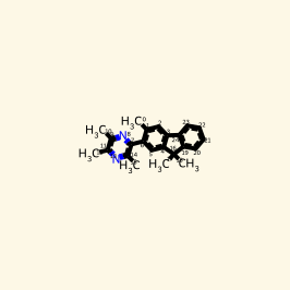 Cc1cc2c(cc1-c1nc(C)c(C)nc1C)C(C)(C)c1ccccc1-2